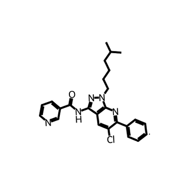 CC(C)CCCCn1nc(NC(=O)c2cccnc2)c2cc(Cl)c(-c3cc[c]cc3)nc21